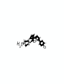 CN1CCN(C(=O)C2(c3ccc(-c4ccc(Cl)cc4)s3)CCC2)CC1